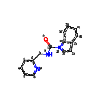 O=C(NCc1ccccn1)n1ccc2ccccc21